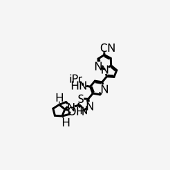 CC(C)Nc1cc(-c2ccc3cc(C#N)cnn23)ncc1-c1nnc(N2C[C@H]3CC[C@@H](C2)C3(C)O)s1